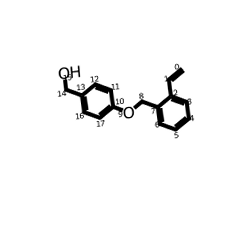 C=Cc1ccccc1COc1ccc(CO)cc1